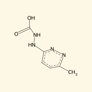 Cc1ccc(NNC(=O)O)nn1